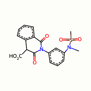 CN(c1cccc(N2C(=O)c3ccccc3C(C(=O)O)C2=O)c1)S(C)(=O)=O